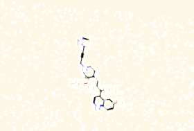 COc1ccc2nccc([C@H](O)CC[C@@H]3CCN(CC#Cc4nccs4)C[C@@H]3C(=O)O)c2c1